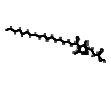 CCCCCCCCCCCCCCCCCC(=O)c1c(C)[nH]c(CCC(=O)OC)c1C